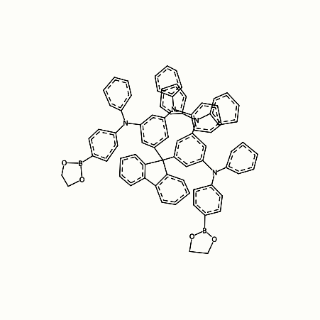 c1ccc(N(c2ccccc2)c2cc(N(c3ccccc3)c3ccc(B4OCCO4)cc3)cc(C3(c4cc(N(c5ccccc5)c5ccccc5)cc(N(c5ccccc5)c5ccc(B6OCCO6)cc5)c4)c4ccccc4-c4ccccc43)c2)cc1